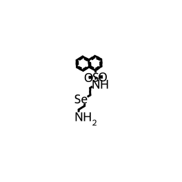 NCC[Se]CCNS(=O)(=O)c1cccc2ccccc12